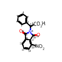 O=C(O)C(c1ccccc1)N1C(=O)c2cccc([N+](=O)[O-])c2C1=O